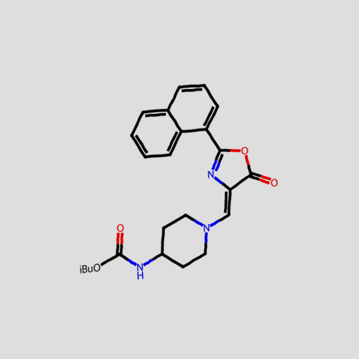 CC(C)COC(=O)NC1CCN(C=C2N=C(c3cccc4ccccc34)OC2=O)CC1